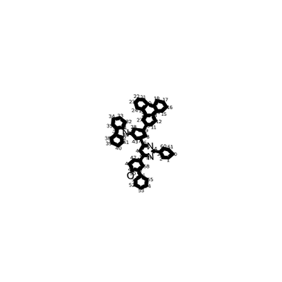 c1ccc(-c2nc(-c3cc(-c4ccc5c6ccccc6c6ccccc6c5c4)cc(-n4c5ccccc5c5ccccc54)c3)cc(-c3ccc4oc5ccccc5c4c3)n2)cc1